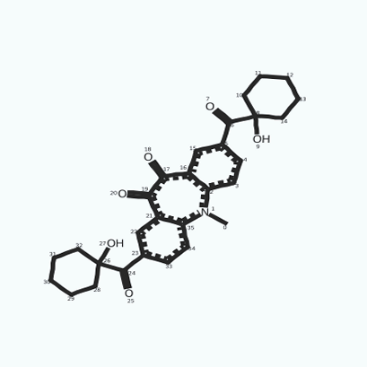 Cn1c2ccc(C(=O)C3(O)CCCCC3)cc2c(=O)c(=O)c2cc(C(=O)C3(O)CCCCC3)ccc21